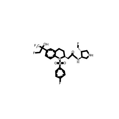 O=C(C[C@@H]1CCc2cc(C(O)(CF)C(F)(F)F)ccc2N1S(=O)(=O)c1ccc(F)cc1)N[C@@H]1CNC[C@H]1CF